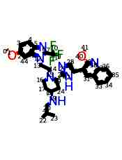 COc1ccc2nc(C(F)(F)F)n(CCN3CC[C@H](NCC(C)C)C[C@H]3c3ncc(-c4cc5ccccc5nc4OC)[nH]3)c2c1